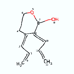 C=C/C=C1/CCOB(O)/C1=C/C=C